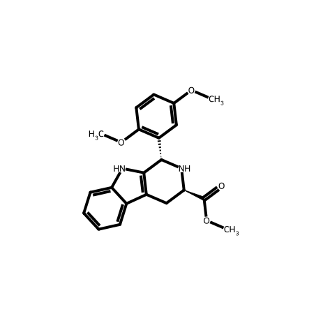 COC(=O)[C@H]1Cc2c([nH]c3ccccc23)[C@H](c2cc(OC)ccc2OC)N1